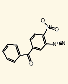 N#[N+]c1cc(C(=O)c2ccccc2)ccc1[N+](=O)[O-]